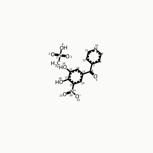 CS(=O)(=O)O.O=C(c1ccncc1)c1cc(O)c(O)c([N+](=O)[O-])c1